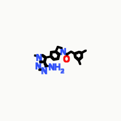 Cc1cc(C)cc(CC(=O)N2CCc3cc(-c4cn(C)c5ncnc(N)c45)ccc32)c1